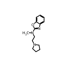 CN(CCN1CCCC1)c1nc2ccccc2o1